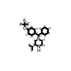 CC(C)[C@H]1CN(C(c2ccccc2)c2ccc(OC(F)(F)F)cc2)CCN1